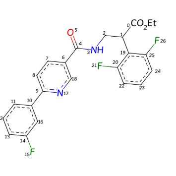 CCOC(=O)C(CNC(=O)c1ccc(-c2cccc(F)c2)nc1)c1c(F)cccc1F